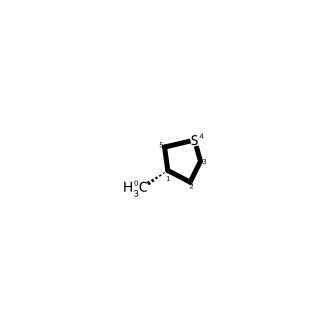 C[C@H]1CCSC1